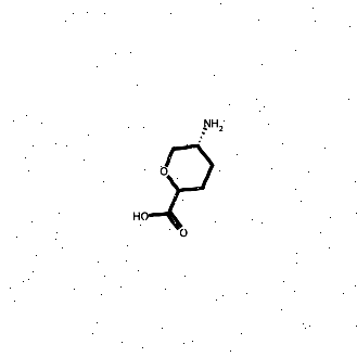 N[C@@H]1CCC(C(=O)O)OC1